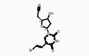 N#CC[C@@H]1O[C@H](n2cc(/C=C/Br)c(=O)[nH]c2=O)CC1O